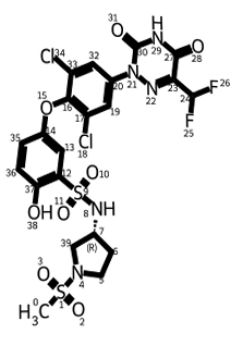 CS(=O)(=O)N1CC[C@@H](NS(=O)(=O)c2cc(Oc3c(Cl)cc(-n4nc(C(F)F)c(=O)[nH]c4=O)cc3Cl)ccc2O)C1